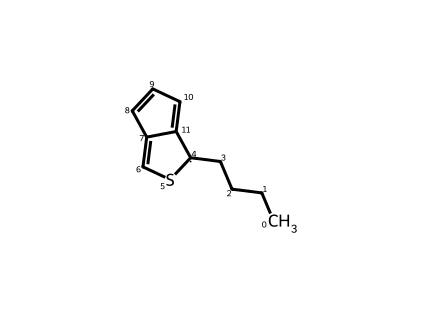 CCCC[C]1SC=C2C=CC=C12